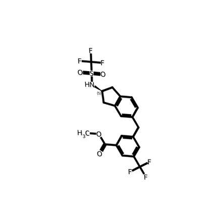 COC(=O)c1cc(Cc2ccc3c(c2)C[C@@H](NS(=O)(=O)C(F)(F)F)C3)cc(C(F)(F)F)c1